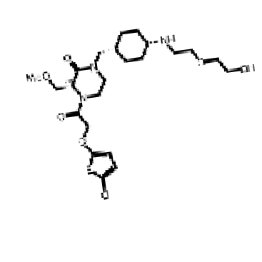 COC[C@H]1C(=O)N(C[C@H]2CC[C@@H](NCCOCCO)CC2)CCN1C(=O)COc1ccc(Cl)s1